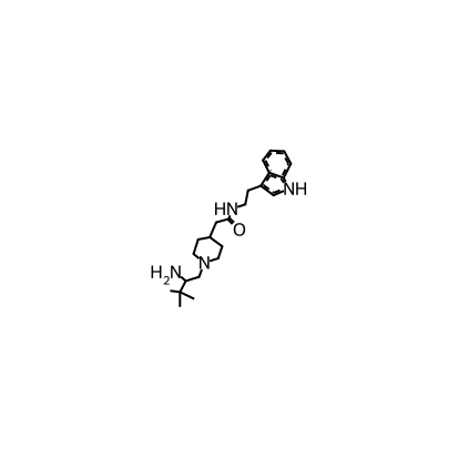 CC(C)(C)C(N)CN1CCC(CC(=O)NCCc2c[nH]c3ccccc23)CC1